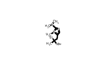 CCCCC(C)(CC)Cc1cnc(N(C)C)n1C